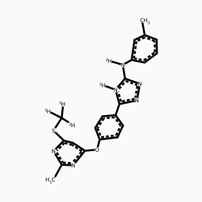 [2H]N(c1cccc(C)c1)c1nnc(-c2ccc(Oc3cc(SC([2H])([2H])[2H])nc(C)n3)cc2)n1[2H]